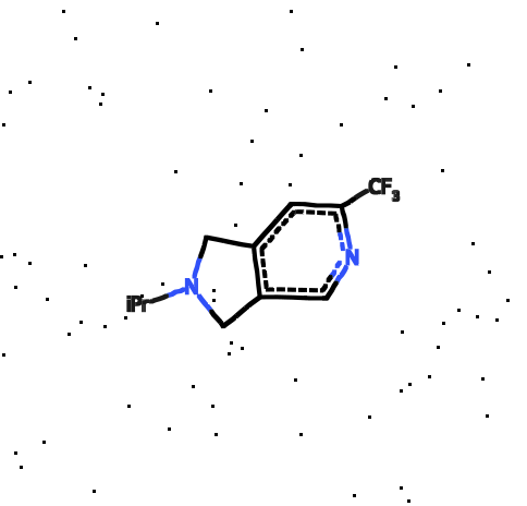 CC(C)N1Cc2cnc(C(F)(F)F)cc2C1